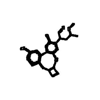 COC(C)CC(C=O)n1cc2c(cc1=O)-c1cc(Cl)ccc1CC1CCC1O2